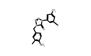 Cc1cc(Cn2nnn(-c3cc(F)cc(C(F)(F)F)c3)c2=O)ccc1[N+](=O)[O-]